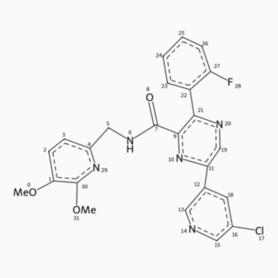 COc1ccc(CNC(=O)c2nc(-c3cncc(Cl)c3)cnc2-c2ccccc2F)nc1OC